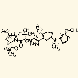 CNC(=O)[C@@H]1C[C@@H](O)CN1C(=O)[C@@H](n1cc(-c2cc(N(C)c3ccnc(OC)n3)ccc2C)nn1)C(C)(C)C